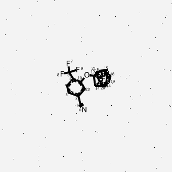 N#Cc1ccc(C(F)(F)F)c(O[C]23[CH]4[CH]5[CH]6[CH]2[Fe]56432789[CH]3[CH]2[CH]7[CH]8[CH]39)c1